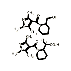 Cc1nn(C)c(C)c1C(=O)N1CCCCC1C(C)C(=O)O.Cc1nn(C)c(C)c1C(=O)N1CCCCC1CO